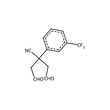 N#CC(CC=O)(CC=O)c1cccc(C(F)(F)F)c1